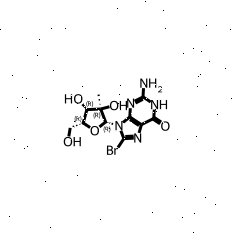 C[C@@]1(O)[C@H](O)[C@@H](CO)O[C@H]1n1c(Br)nc2c(=O)[nH]c(N)nc21